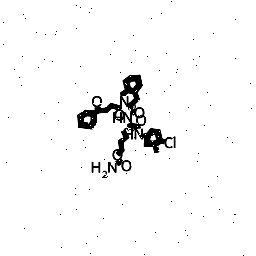 Cc1cc(NC(=O)[C@H](CCCCOC(N)=O)NC(=O)[C@@H]2Cc3ccccc3CN2C(=O)CCC(=O)c2ccccc2)ccc1Cl